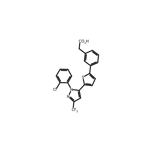 O=C(O)Cc1cccc(-c2ccc(-c3cc(C(F)(F)F)nn3-c3ccccc3Cl)s2)c1